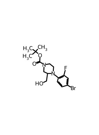 CC(C)(C)OC(=O)N1CCN(c2ccc(Br)cc2F)C(CO)C1